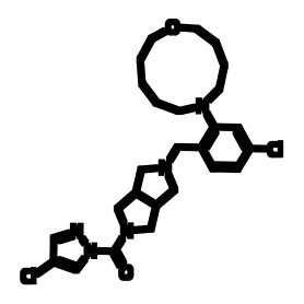 O=C(N1CC2CN(Cc3ccc(Cl)cc3N3CCCCCOCCCC3)CC2C1)n1cc(Cl)cn1